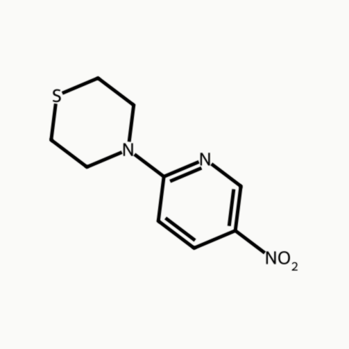 O=[N+]([O-])c1ccc(N2CCSCC2)nc1